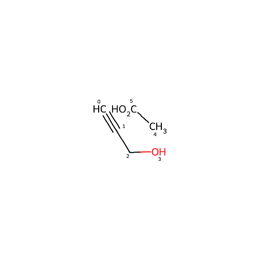 C#CCO.CC(=O)O